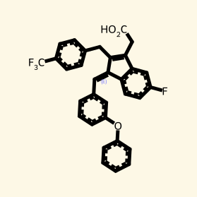 O=C(O)CC1=C(Cc2ccc(C(F)(F)F)cc2)/C(=C/c2cccc(Oc3ccccc3)c2)c2ccc(F)cc21